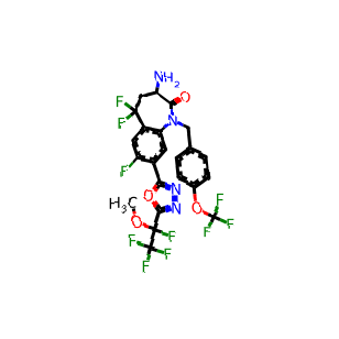 COC(F)(c1nnc(-c2cc3c(cc2F)C(F)(F)CC(N)C(=O)N3Cc2ccc(OC(F)(F)F)cc2)o1)C(F)(F)F